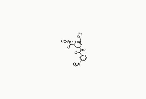 CCOCOCC(CC(C)C(=O)NO)NC(=O)c1cccc([N+](=O)[O-])c1